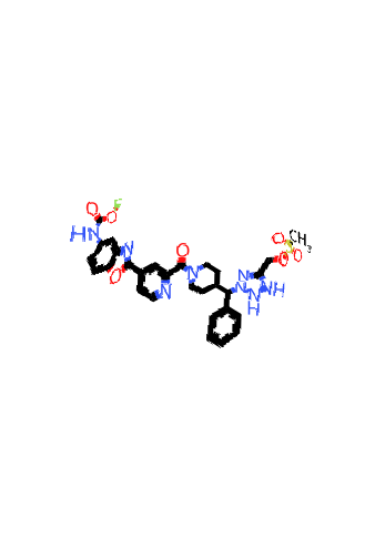 CS(=O)(=O)OCC1=NN(C(c2ccccc2)C2CCN(C(=O)c3cc(-c4nc5cc(NC(=O)OF)ccc5o4)ccn3)CC2)NN1